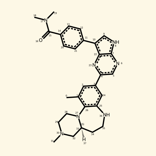 Cc1cc(-c2cnc3[nH]cc(-c4ccc(C(=O)N(C)C)cc4)c3n2)cc2c1N1CCN(C)C[C@@H]1CCN2